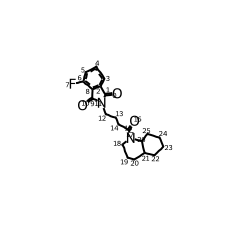 O=C1c2cccc(F)c2C(=O)N1CCCC(=O)N1CCCC2CCCCC21